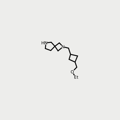 CCOCC1CC(CN2CC3(CCNC3)C2)C1